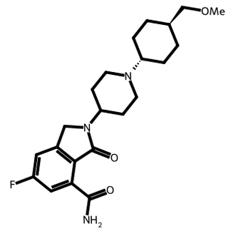 COC[C@H]1CC[C@H](N2CCC(N3Cc4cc(F)cc(C(N)=O)c4C3=O)CC2)CC1